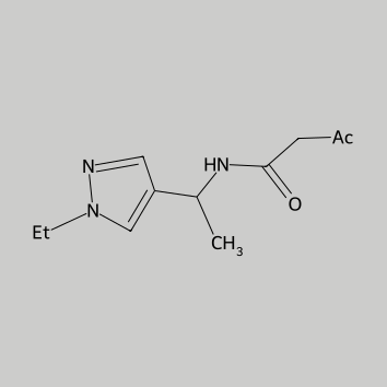 CCn1cc(C(C)NC(=O)CC(C)=O)cn1